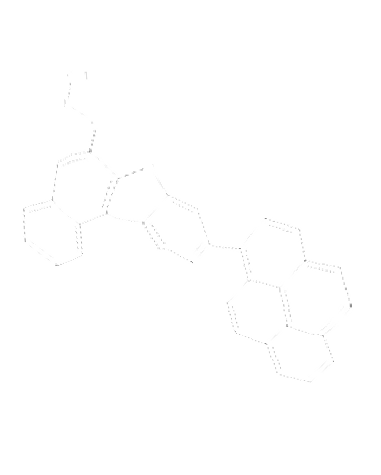 OBOc1cc2ccccc2c2c1oc1cc(-c3ccc4ccc5cccc6ccc3c4c56)ccc12